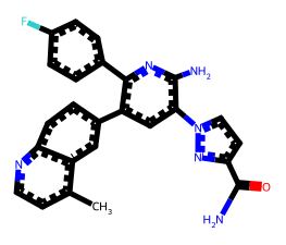 Cc1ccnc2ccc(-c3cc(-n4ccc(C(N)=O)n4)c(N)nc3-c3ccc(F)cc3)cc12